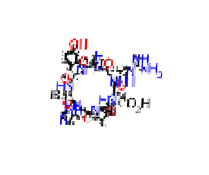 CC[C@H](C)[C@@H]1NC(=O)[C@H](Cc2ccc(O)cc2)NC(=O)[C@H](C(C)C)NC(=O)[C@H](CCCNC(=N)N)NC(=O)[C@H](CC(=O)O)NC(=O)[C@@H]2CCCN2C(=O)[C@H](Cc2cnc[nH]2)NC1=O